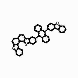 c1ccc2c(c1)oc1ccc(-c3c4ccccc4c(-c4ccc5sc6c(ccc7ccc8sc9ccccc9c8c76)c5c4)c4ccccc34)cc12